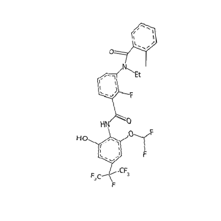 CCN(C(=O)c1ccccc1C)c1cccc(C(=O)Nc2c(O)cc(C(F)(C(F)(F)F)C(F)(F)F)cc2OC(F)F)c1F